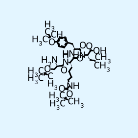 CC(C)C[C@H](NC(=O)[C@H](Cc1ccc(OC(C)(C)C)cc1)NC(=O)[C@H](CCCCNC(=O)OC(C)(C)C)NC(=O)[C@@H](N)COC(C)(C)C)C(=O)O